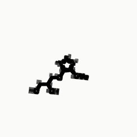 COc1nsnc1OCC(O)CO